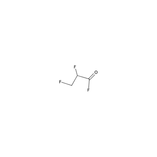 O=C(F)C(F)CF